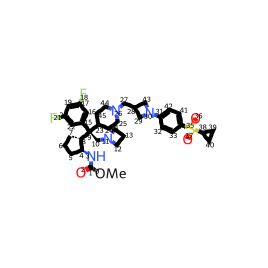 COC(=O)N[C@H]1CCC[C@@H]1[C@](CN1CCC1)(c1cc(F)cc(F)c1)C1CCN(CC2CN(c3ccc(S(=O)(=O)C4CC4)cc3)C2)CC1